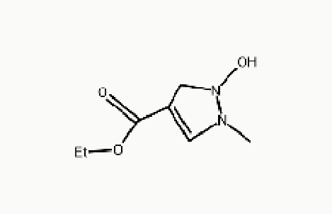 CCOC(=O)C1=CN(C)N(O)C1